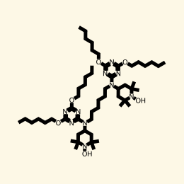 CCCCCCOc1nc(OCCCCCC)nc(N(CCCCCCN(c2nc(OCCCCCC)nc(OCCCCCC)n2)C2CC(C)(C)N(O)C(C)(C)C2)C2CC(C)(C)N(O)C(C)(C)C2)n1